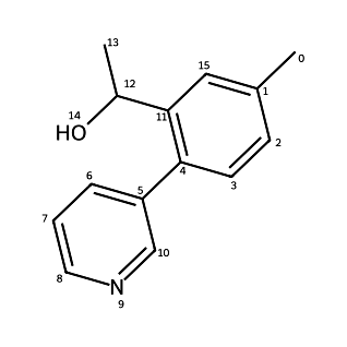 Cc1ccc(-c2cccnc2)c(C(C)O)c1